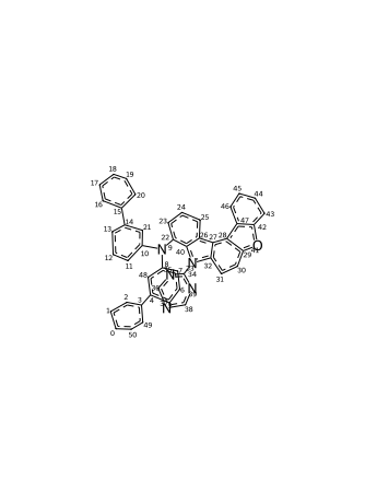 c1ccc(-c2cccc(N(c3cccc(-c4ccccc4)c3)c3cccc4c5c6c(ccc5n(-c5ncncn5)c34)oc3ccccc36)c2)cc1